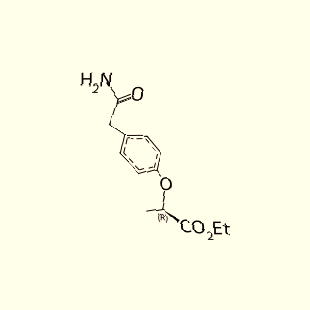 CCOC(=O)[C@@H](C)Oc1ccc(CC(N)=O)cc1